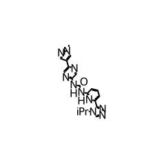 CC(C)n1cnnc1-c1cccc(NC(=O)Nc2cnc(-c3cnn(C)c3)cn2)n1